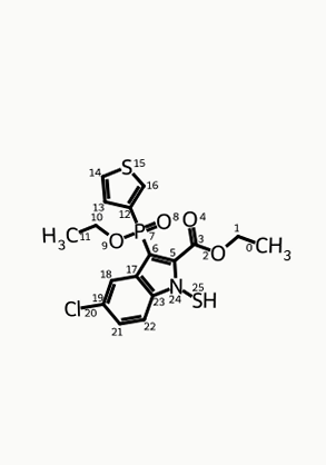 CCOC(=O)c1c(P(=O)(OCC)c2ccsc2)c2cc(Cl)ccc2n1S